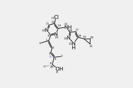 CC(=C/C=C(\C)[C@@H](C)O)c1ncc(Cl)c(Nc2cc(C3CC3)[nH]n2)n1